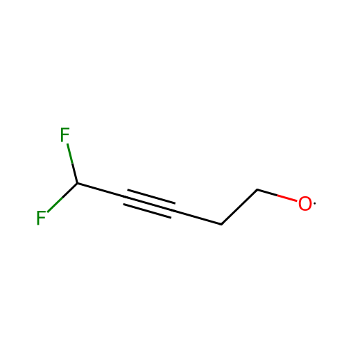 [O]CCC#CC(F)F